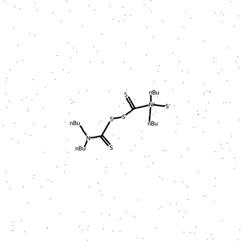 CCCCN(CCCC)C(=S)SSC(=S)[N+]([S-])(CCCC)CCCC